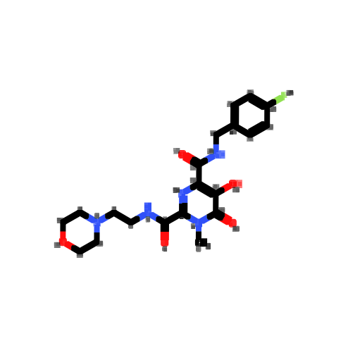 Cn1c(C(=O)NCCN2CCOCC2)nc(C(=O)NCc2ccc(F)cc2)c(O)c1=O